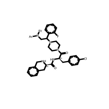 CCN(CC(c1ccccc1F)N1CCN(C(=O)[C@@H](Cc2ccc(Cl)cc2)NC(=O)[C@H]2Cc3ccccc3CN2)CC1)C(C)=O